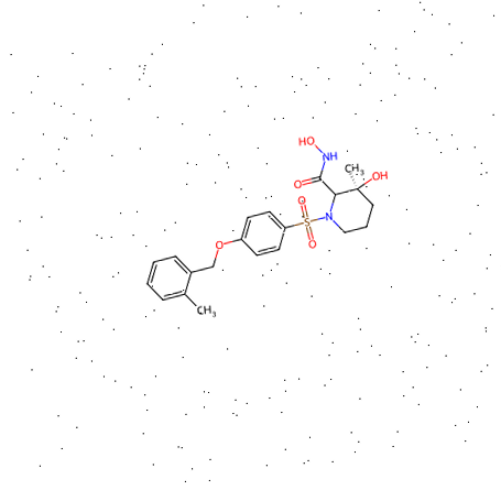 Cc1ccccc1COc1ccc(S(=O)(=O)N2CCC[C@](C)(O)C2C(=O)NO)cc1